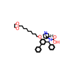 O=C(O)N(C(c1ccccc1)c1cc(OCCCCCCCCC2OCCO2)cc(-c2ccccc2)c1)[C@H]1CN2CCC1CC2